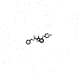 Cc1c(C(=O)OCC2CCCCC2)oc2cccc(OC3CCNCC3)c12